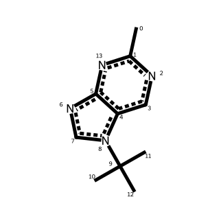 Cc1ncc2c(ncn2C(C)(C)C)n1